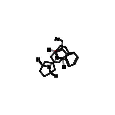 CC(=O)Cc1cn([C@H]2C[C@H]3CC[C@@H](C2)N3[C@H]2C[C@@H]3CCC[C@@H](C3)C2)c2ccccc12